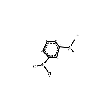 ClN(Cl)c1cccc(N(Cl)Cl)c1